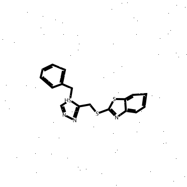 C1=NN=C(CSc2nc3ccccc3s2)[SH]1Cc1ccccc1